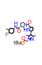 Cc1cc(NC(=O)[C@H]2CCN(C(=O)c3ccc(-c4c(C)nn(CC(=O)OC(C)(C)C)c4C)[nH]3)[C@H]2C)ccc1F